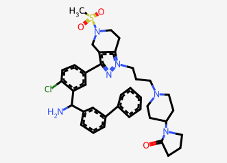 CS(=O)(=O)N1CCc2c(c(-c3ccc(Cl)c(C(N)c4cccc(-c5ccccc5)c4)c3)nn2CCCN2CCC(N3CCCC3=O)CC2)C1